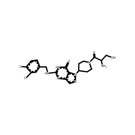 NC(CO)C(=O)N1CCC(n2ncc3nc(NCc4ccc(Cl)c(Cl)c4)[nH]c(=O)c32)CC1